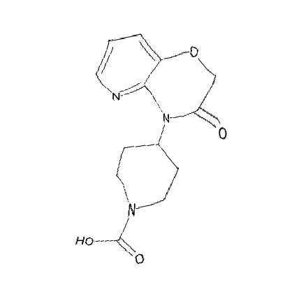 O=C(O)N1CCC(N2C(=O)COc3cccnc32)CC1